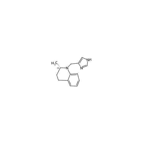 C[C@H]1CCc2ccccc2N1Cc1c[nH]cn1